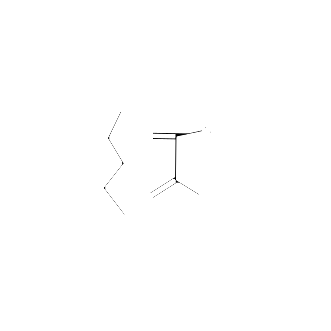 C=C(C)C(N)=O.CCCCCl